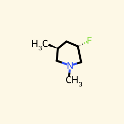 C[C@H]1C[C@H](F)CN(C)C1